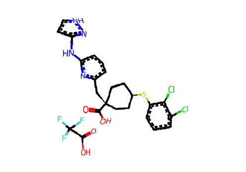 O=C(O)C(F)(F)F.O=C(O)[C@]1(Cc2cccc(Nc3cc[nH]n3)n2)CC[C@@H](Sc2cccc(Cl)c2Cl)CC1